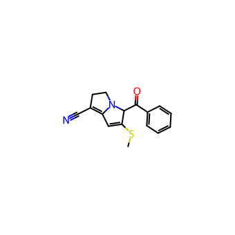 CSC1=CC2=C(C#N)CCN2C1C(=O)c1ccccc1